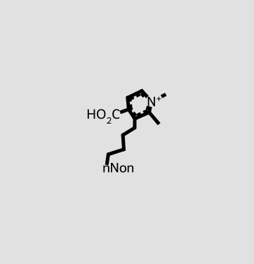 CCCCCCCCCCCCCc1c(C(=O)O)cc[n+](C)c1C